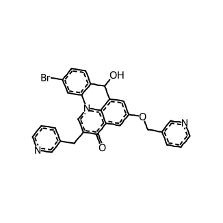 O=c1c(Cc2cccnc2)cn2c3c(cc(OCc4cccnc4)cc13)C(O)c1ccc(Br)cc1-2